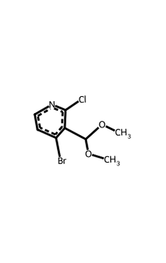 COC(OC)c1c(Br)ccnc1Cl